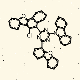 Clc1c(-c2nc(-c3cccc4c3oc3ccccc34)nc(-n3c4ccccc4c4ccccc43)n2)c2ccccc2c2oc3ccccc3c12